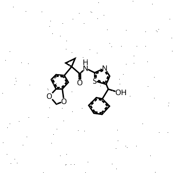 O=C(Nc1ncc(C(O)c2ccccc2)s1)C1(c2ccc3c(c2)OCO3)CC1